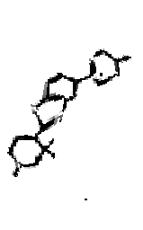 CC1CCC(c2ccc3sc(C4CCN(C)CC4(C)C)nc3c2)=NC1